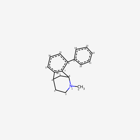 CN1CCC2CC1c1c(-c3ccccc3)cccc12